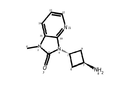 Cn1c(=O)n([C@H]2C[C@H](N)C2)c2ncccc21